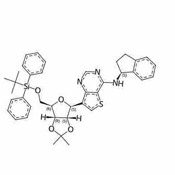 CC1(C)O[C@@H]2[C@H](O1)[C@@H](CO[Si](c1ccccc1)(c1ccccc1)C(C)(C)C)O[C@H]2c1csc2c(N[C@H]3CCc4ccccc43)ncnc12